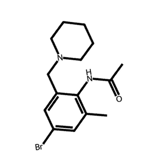 CC(=O)Nc1c(C)cc(Br)cc1CN1CCCCC1